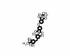 CCc1cc(Cc2cc(CC)c(C(C)(CC)CC)c(CC)c2)cc(CC)c1N1C(=O)c2ccc(Oc3ccc4c(c3)C(=O)N(C(C)(CC)CC)C4=O)cc2C1=O